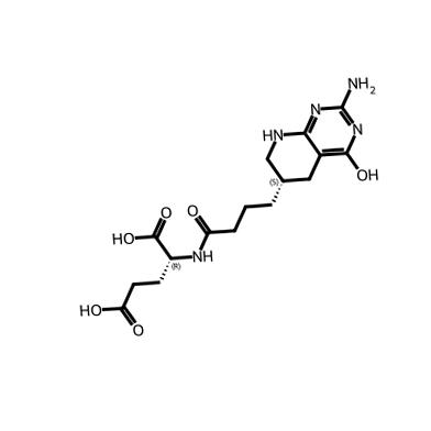 Nc1nc(O)c2c(n1)NC[C@@H](CCCC(=O)N[C@H](CCC(=O)O)C(=O)O)C2